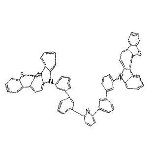 c1cc(-c2cccc(-n3c4ccccc4c4c5sc6ccccc6c5ccc43)c2)cc(-c2cccc(-c3cccc(-c4cccc(-n5c6ccccc6c6c7sc8ccccc8c7ccc65)c4)c3)n2)c1